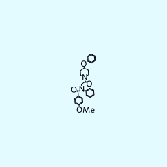 COc1ccc(C(=O)N(CC(=O)N2CCC(Oc3ccccc3)CC2)c2ccccc2)cc1